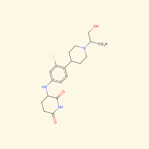 O=C1CCC(Nc2ccc(C3CCN(C(CO)C(=O)O)CC3)c(F)c2)C(=O)N1